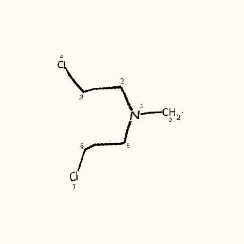 [CH2]N(CCCl)CCCl